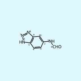 O=CNc1ccc2[nH]nnc2c1